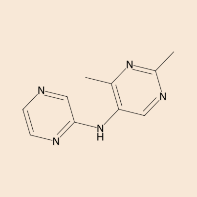 Cc1ncc(Nc2cnccn2)c(C)n1